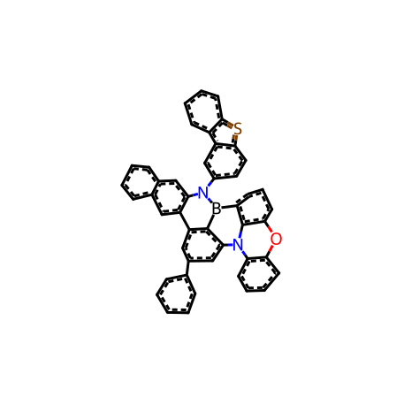 c1ccc(-c2cc3c4c(c2)N2c5ccccc5Oc5cccc(c52)B4N(c2ccc4sc5ccccc5c4c2)c2cc4ccccc4cc2-3)cc1